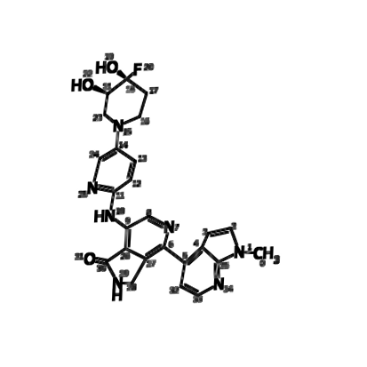 Cn1ccc2c(-c3ncc(Nc4ccc(N5CC[C@@](O)(F)[C@H](O)C5)cn4)c4c3CNC4=O)ccnc21